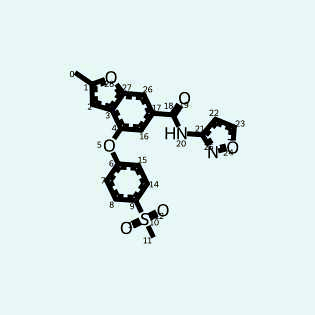 Cc1cc2c(Oc3ccc(S(C)(=O)=O)cc3)cc(C(=O)Nc3ccon3)cc2o1